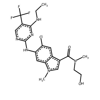 CCNc1nc(Nc2cc3c(cc2Cl)c(C(=O)N(C)CCO)cn3C)ncc1C(F)(F)F